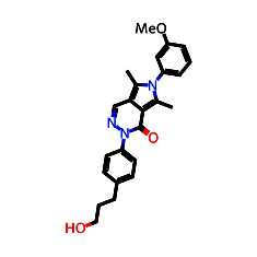 COc1cccc(-n2c(C)c3cnn(-c4ccc(CCCO)cc4)c(=O)c3c2C)c1